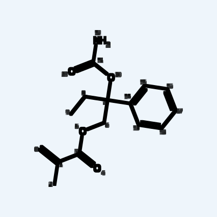 C=C(C)C(=O)OCC(CC)(OC(N)=O)c1ccccc1